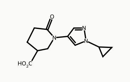 O=C(O)C1CCC(=O)N(c2cnn(C3CC3)c2)C1